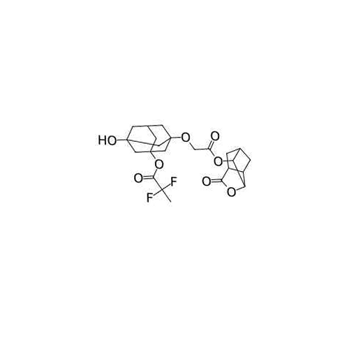 CC(F)(F)C(=O)OC12CC3CC(O)(CC(OCC(=O)OC4C5CC6C(=O)OC4C6C5)(C3)C1)C2